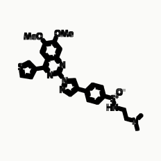 COc1cc2nc(-n3cc(-c4ccc([S+]([O-])NCCN(C)C)cc4)cn3)nc(-c3ccsc3)c2cc1OC